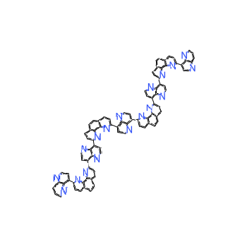 c1cnc2c(-c3ccc4ccc5ccc(-c6ccnc7c(-c8ccc9ccc%10ccc(-c%11ccnc%12c(-c%13ccc%14ccc%15ccc(-c%16ccnc%17c(-c%18ccc%19ccc%20ccc(-c%21ccnc%22cccnc%21%22)nc%20c%19n%18)ccnc%16%17)nc%15c%14n%13)ccnc%11%12)nc%10c9n8)ccnc67)nc5c4n3)ccnc2c1